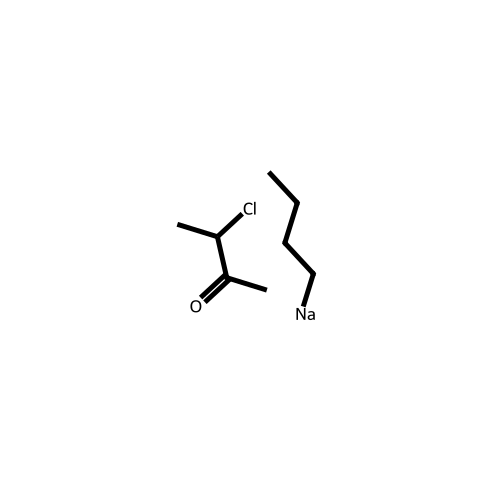 CC(=O)C(C)Cl.CCC[CH2][Na]